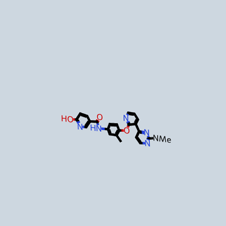 CNc1nccc(-c2cccnc2Oc2ccc(NC(=O)c3ccc(O)nc3)cc2C)n1